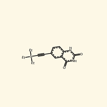 CC[Si](C#Cc1ccc2[nH]c(=O)[nH]c(=O)c2c1)(CC)CC